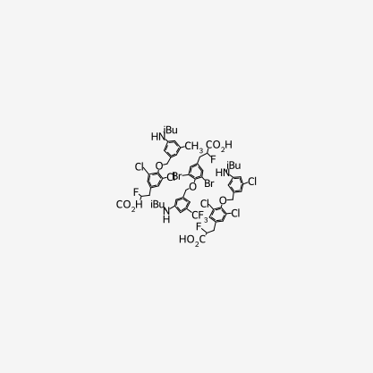 CCC(C)Nc1cc(C)cc(COc2c(Cl)cc(CC(F)C(=O)O)cc2Cl)c1.CCC(C)Nc1cc(COc2c(Br)cc(CC(F)C(=O)O)cc2Br)cc(C(F)(F)F)c1.CCC(C)Nc1cc(Cl)cc(COc2c(Cl)cc(CC(F)C(=O)O)cc2Cl)c1